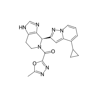 Cc1nnc(C(=O)N2CCc3[nH]cnc3[C@H]2c2cc3c(C4CC4)cccn3n2)o1